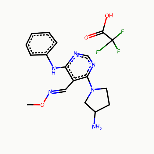 CON=Cc1c(Nc2ccccc2)ncnc1N1CCC(N)C1.O=C(O)C(F)(F)F